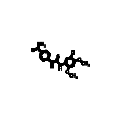 COc1cc(OC)c(NC(=S)Nc2ccc(C(N)=O)cc2)cc1Cl